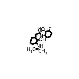 CC(C)NC1CCCC(CC(C)N[C@H]2CCC[C@@H](F)[C@H]2O)C1O